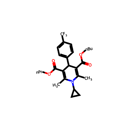 CCCCOC(=O)C1=C(C)N(C2CC2)C(C)=C(C(=O)OCCC)C1c1ccc(C(F)(F)F)cc1